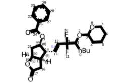 CCCCC(OC1CCCCO1)C(F)(F)/C=C/[C@@H]1[C@H]2CC(=O)O[C@H]2C[C@H]1OC(=O)c1ccccc1